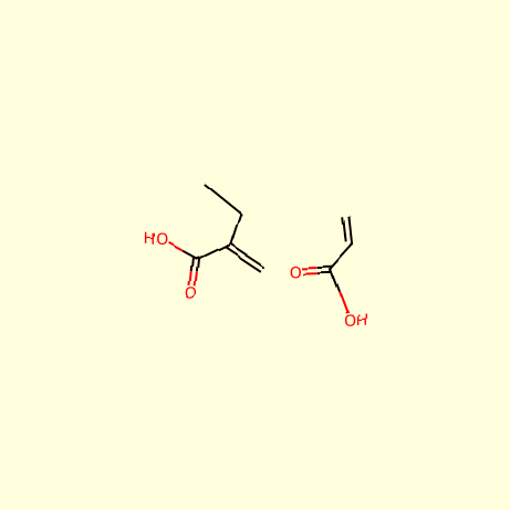 C=C(CC)C(=O)O.C=CC(=O)O